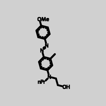 CCCN(CCO)c1ccc(/N=N/c2ccc(OC)cc2)c(C)c1